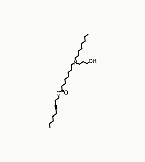 CCCCCC#CCCOC(=O)CCCCCCCN(CCCO)CCCCCCCC